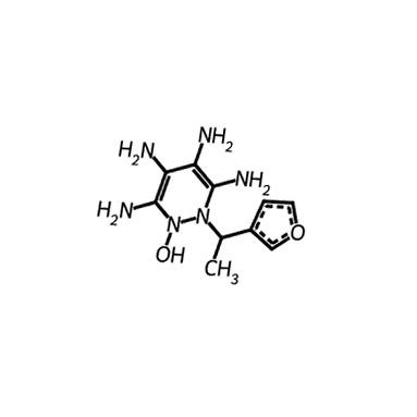 CC(c1ccoc1)N1C(N)=C(N)C(N)=C(N)N1O